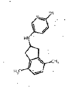 [2H]c1ccc(NC2Cc3c(C)ccc(C)c3C2)cn1